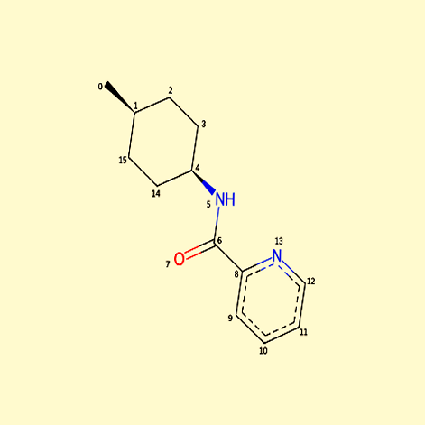 C[C@H]1CC[C@@H](NC(=O)c2ccccn2)CC1